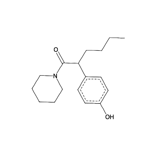 CCCCC(C(=O)N1CCCCC1)c1ccc(O)cc1